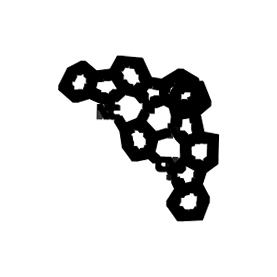 N#Cc1ccc(C#N)c(-n2c3ccccc3c3ccc4c5ccccc5sc4c32)c1-n1c2ccccc2c2ccc3c4ccccc4sc3c21